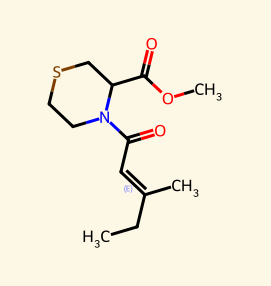 CC/C(C)=C/C(=O)N1CCSCC1C(=O)OC